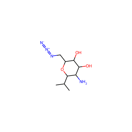 CC(C)C1OC(CN=[N+]=[N-])C(O)C(O)C1N